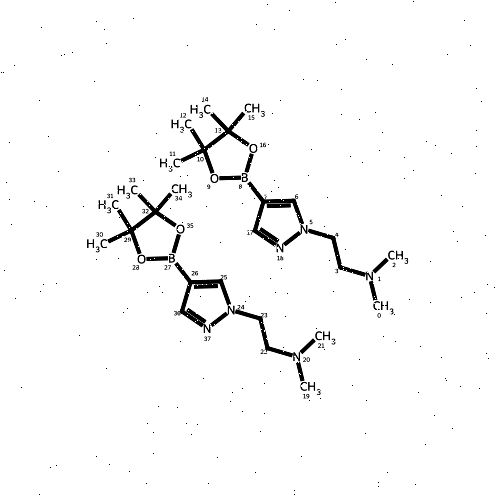 CN(C)CCn1cc(B2OC(C)(C)C(C)(C)O2)cn1.CN(C)CCn1cc(B2OC(C)(C)C(C)(C)O2)cn1